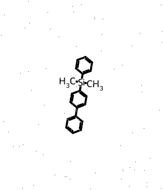 C[Si](C)(c1ccccc1)c1ccc(-c2ccccc2)cc1